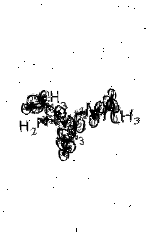 Cc1oc(=O)oc1COC(=O)NCCN(CCN(CCN)C(=O)OCc1oc(=O)oc1C)C(=O)OCc1oc(=O)oc1C